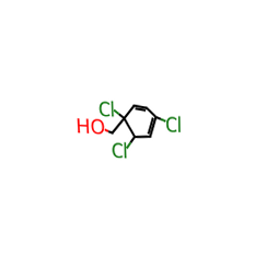 OCC1(Cl)C=CC(Cl)=CC1Cl